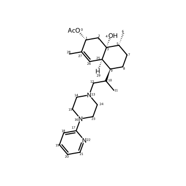 CC(=O)O[C@@H]1[CH][C@@]2(O)[C@H](C)CC[C@@H](C(C)CN3CCN(c4ccccn4)CC3)[C@H]2C=C1C